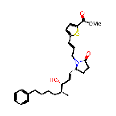 COC(=O)c1ccc(C=CCN2C(=O)CC[C@@H]2C=C[C@@H](O)[C@@H](C)CCCCc2ccccc2)s1